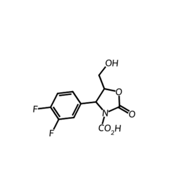 O=C(O)N1C(=O)OC(CO)C1c1ccc(F)c(F)c1